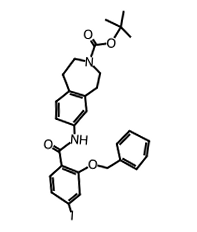 CC(C)(C)OC(=O)N1CCc2ccc(NC(=O)c3ccc(I)cc3OCc3ccccc3)cc2CC1